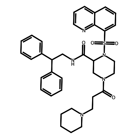 O=C(NCC(c1ccccc1)c1ccccc1)C1CN(C(=O)CCN2CCCCC2)CCN1S(=O)(=O)c1cccc2cccnc12